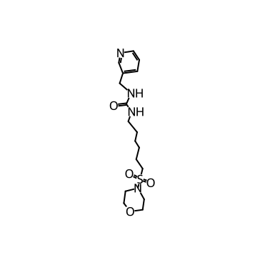 O=C(NCCCCCCS(=O)(=O)N1CCOCC1)NCc1cccnc1